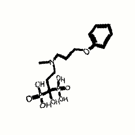 CN(CCCOc1ccccc1)CCC(O)(P(=O)(O)O)P(=O)(O)O